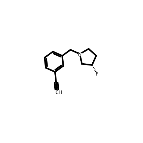 C#Cc1cccc(CN2CC[C@H](F)C2)c1